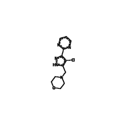 Clc1c(-c2ncccn2)n[nH]c1CN1CCOCC1